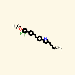 C/C=C\CCCc1ccc(C2CCC(CCC3CC=C(c4ccc(OCC)c(F)c4F)CC3)CC2)nc1